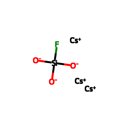 [Cs+].[Cs+].[Cs+].[O-][Si]([O-])([O-])F